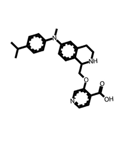 CC(C)c1ccc(N(C)c2ccc3c(c2)CCNC3COc2cnccc2C(=O)O)cc1